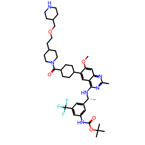 COc1cc2nc(C)nc(N[C@H](C)c3cc(NC(=O)OC(C)(C)C)cc(C(F)(F)F)c3)c2cc1C1CCC(C(=O)N2CCC(CCOCC3CCNCC3)CC2)CC1